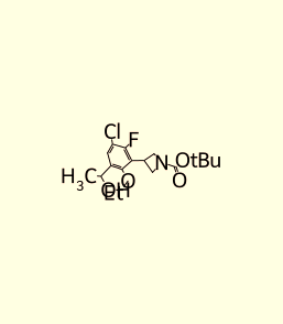 CCOc1c(C(C)O)cc(Cl)c(F)c1C1CN(C(=O)OC(C)(C)C)C1